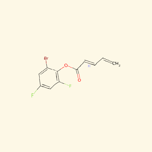 C=C/C=C/C(=O)Oc1c(F)cc(F)cc1Br